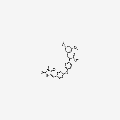 COC(=O)/C(=C\c1cc(OC)cc(OC)c1)c1ccc(Oc2ccc(C=C3SC(=O)NC3=O)cc2)cc1